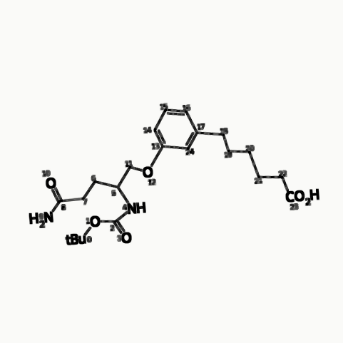 CC(C)(C)OC(=O)NC(CCC(N)=O)COc1cccc(CCCCCC(=O)O)c1